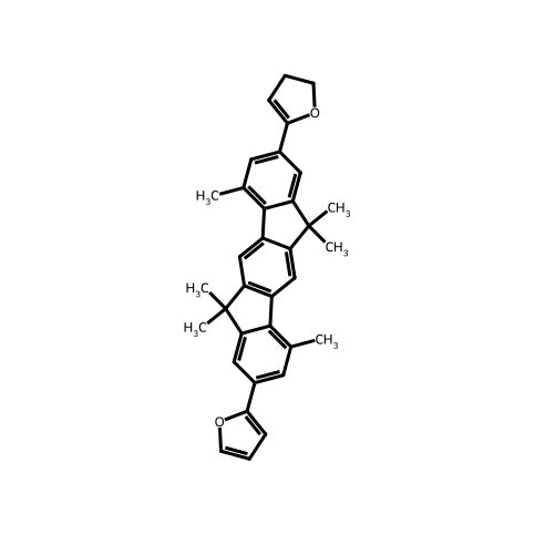 Cc1cc(C2=CCCO2)cc2c1-c1cc3c(cc1C2(C)C)-c1c(C)cc(-c2ccco2)cc1C3(C)C